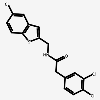 O=C(Cc1ccc(Cl)c(Cl)c1)NCc1cc2cc(Cl)ccc2s1